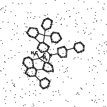 CC1(C)c2c(cccc2N(c2ccc(-c3ccccc3)cc2)c2ccc3c(c2)C(c2ccccc2)(c2ccccc2)c2ccccc2-3)-c2c(-c3ccccc3)ccc3cccc1c23